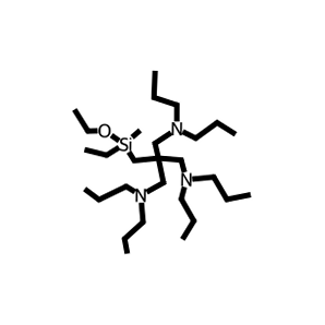 CCCN(CCC)CC(CN(CCC)CCC)(CN(CCC)CCC)C[Si](C)(CC)OCC